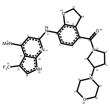 CNc1cc(Nc2ccc(C(=O)N3CCC(N4CCOCC4)C3)c3c2OCC3)nc2[nH]cc(C(F)(F)F)c12